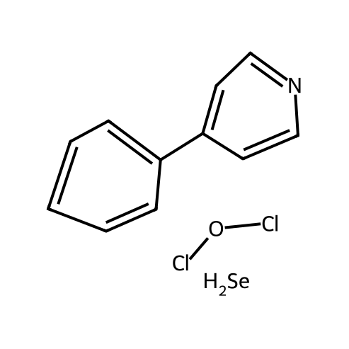 ClOCl.[SeH2].c1ccc(-c2ccncc2)cc1